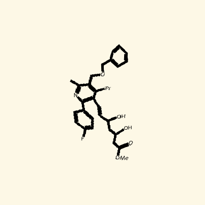 COC(=O)CC(O)CC(O)C=Cc1c(-c2ccc(F)cc2)nc(C)c(COCc2ccccc2)c1C(C)C